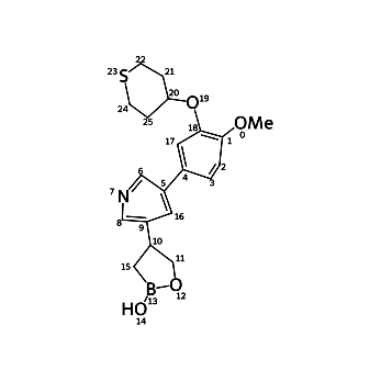 COc1ccc(-c2cncc(C3COB(O)C3)c2)cc1OC1CCSCC1